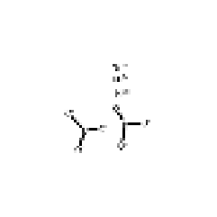 [Ni+2].[Ni+2].[Ni+2].[O-]B([O-])[O-].[O-]B([O-])[O-]